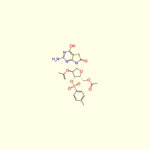 C=C(C)O[C@@H]1[C@@H](OS(=O)(=O)c2ccc(C)cc2)[C@@H](COC(C)=O)O[C@H]1n1c(=O)sc2c(O)nc(N)nc21